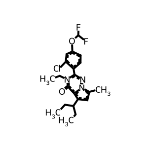 CCC(CC)c1cc(C)n2nc(-c3ccc(OC(F)F)cc3Cl)n(CC)c(=O)c12